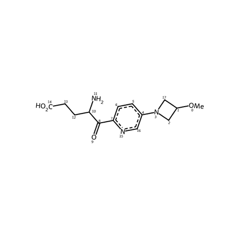 COC1CN(c2ccc(C(=O)C(N)CCC(=O)O)nc2)C1